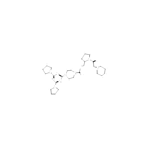 O=C(OCC1CCCN1C(=O)CN1CCCCC1)N1CCN(c2nc(N3CCCC3)nc(N3CCCC3)n2)CC1